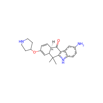 CC1(C)c2[nH]c3ccc(N)cc3c2C(=O)[C@@H]2C=CC(OC3CCNCC3)=CC21